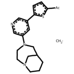 CC(=O)c1ccc(-c2cncc(N3CCN4CCCC(C4)C3)c2)s1.[CH2]